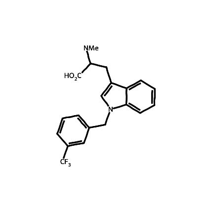 CNC(Cc1cn(Cc2cccc(C(F)(F)F)c2)c2ccccc12)C(=O)O